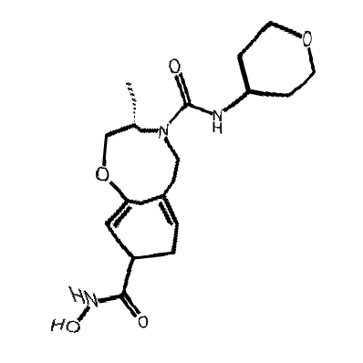 C[C@H]1COC2=CC(C(=O)NO)CC=C2CN1C(=O)NC1CCOCC1